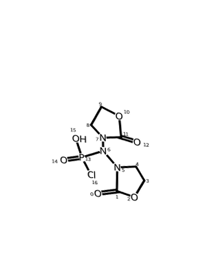 O=C1OCCN1N(N1CCOC1=O)P(=O)(O)Cl